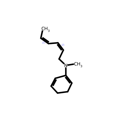 C/C=C\C=C/CN(C)C1=CCCC=C1